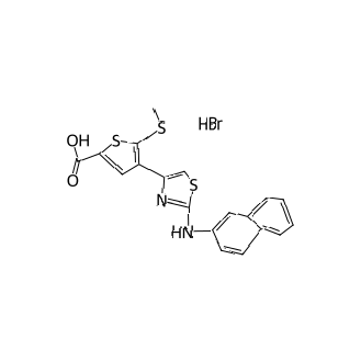 Br.CSc1sc(C(=O)O)cc1-c1csc(Nc2ccc3ccccc3c2)n1